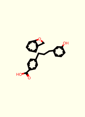 O=C(O)c1ccc(CCCc2cccc(O)c2)cc1.c1ccc2c(c1)CO2